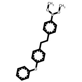 CON(OC)c1ccc(CCc2ccc(Oc3ccccc3)cc2)cc1